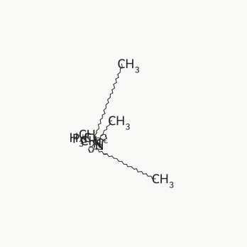 CCCCCCCCCCCCCCCCCCCCC=CCCCc1ccccc1C1=C(CC)C(CCCCCCCCCCCCCCCCCCCCCCCCCCCCC)=C(c2cccc(CCCCCC)c2)[N+]1=[N-].[CH3][Pd][CH3]